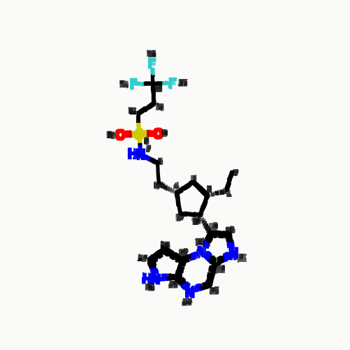 CC[C@H]1C[C@@H](CCNS(=O)(=O)CCC(F)(F)F)C[C@H]1c1cnc2cnc3[nH]ccc3n12